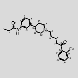 CCC(=O)Nc1cccc(C2CCN(CCCCC(=O)c3ccccc3F)CC2)c1